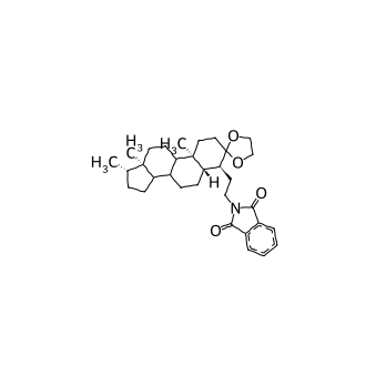 C[C@H]1CCC2C3CC[C@H]4[C@H](CCN5C(=O)c6ccccc6C5=O)C5(CC[C@]4(C)C3CC[C@@]21C)OCCO5